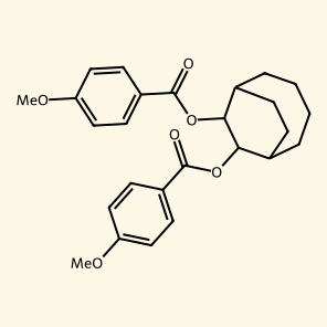 COc1ccc(C(=O)OC2C3CCCCC(CC3)C2OC(=O)c2ccc(OC)cc2)cc1